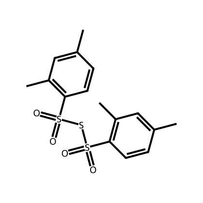 Cc1ccc(S(=O)(=O)SS(=O)(=O)c2ccc(C)cc2C)c(C)c1